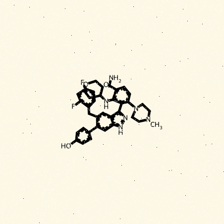 CN1CCN(c2ccc(C(N)=O)c(NC3CCOCC3)c2-c2n[nH]c3cc(-c4ccc(O)cc4)c(Cc4ccc(F)cc4F)cc23)CC1